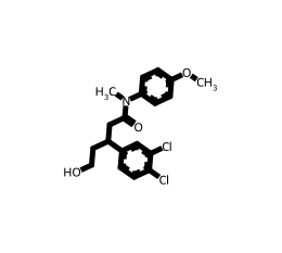 COc1ccc(N(C)C(=O)CC(CCO)c2ccc(Cl)c(Cl)c2)cc1